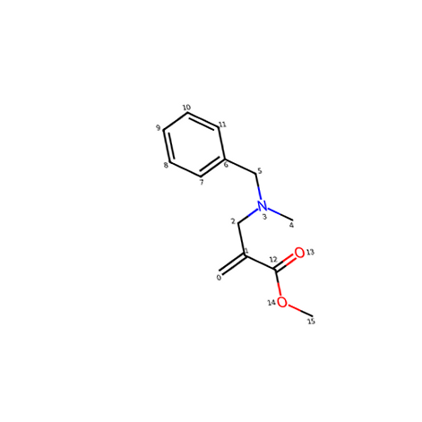 C=C(CN(C)Cc1ccccc1)C(=O)OC